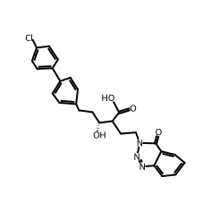 O=C(O)C(CCn1nnc2ccccc2c1=O)[C@H](O)CCc1ccc(-c2ccc(Cl)cc2)cc1